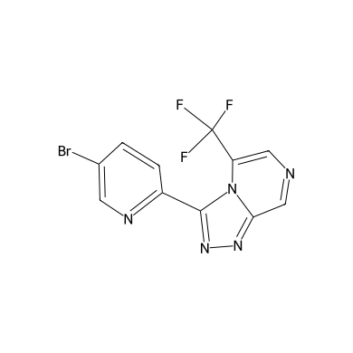 FC(F)(F)c1cncc2nnc(-c3ccc(Br)cn3)n12